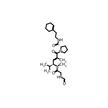 C/C(=C\[C@H](C(C)C)N(C)C(=O)CNC=O)C(=O)N1CCC[C@H]1C(=O)NCCC1=CCCCC1